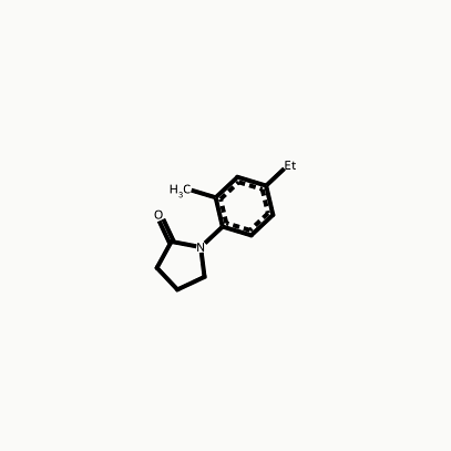 CCc1ccc(N2CCCC2=O)c(C)c1